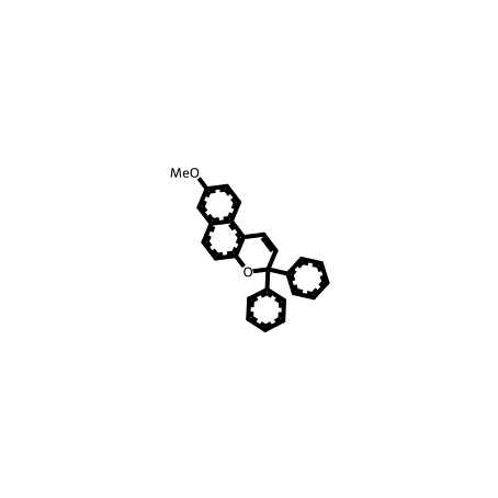 COc1ccc2c3c(ccc2c1)OC(c1ccccc1)(c1ccccc1)C=C3